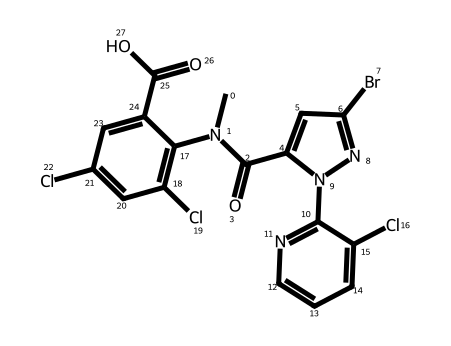 CN(C(=O)c1cc(Br)nn1-c1ncccc1Cl)c1c(Cl)cc(Cl)cc1C(=O)O